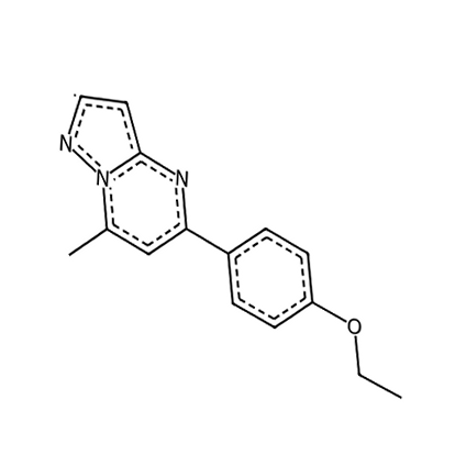 CCOc1ccc(-c2cc(C)n3n[c]cc3n2)cc1